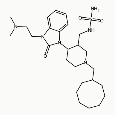 CN(C)CCn1c(=O)n(C2CCN(CC3CCCCCCC3)CC2CNS(N)(=O)=O)c2ccccc21